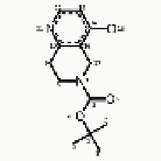 CC(C)(C)OC(=O)N1CCc2nccc(Cl)c2C1